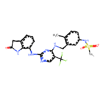 Cc1ccc(NS(C)(=O)=O)cc1CNc1nc(Nc2cccc3c2NC(=O)C3)ncc1C(F)(F)F